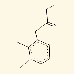 N=C(CO)Cc1ccc[n+]([O-])c1Cl